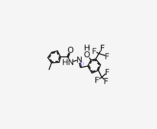 Cc1cccc(C(=O)N/N=C/c2cc(C(F)(F)F)cc(C(F)(F)F)c2O)c1